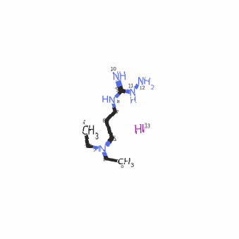 CCN(CC)CCCNC(=N)NN.I